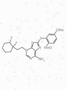 COc1ccc(OC)c(Sc2nc3c(N)ncn(CCC4(F)CCCCC4F)c-3n2)c1